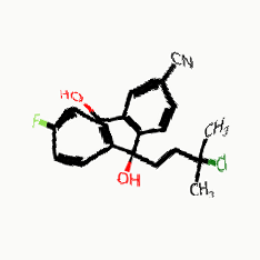 CC(C)(Cl)CC[C@](O)(c1ccc(F)cc1)c1ccc(C#N)cc1CO